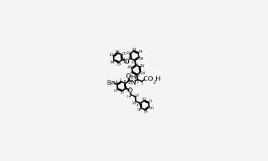 O=C(O)CC(NC(=O)c1cc(Br)ccc1OCCCc1ccccc1)c1ccc(-c2ccccc2Oc2ccccc2)cc1